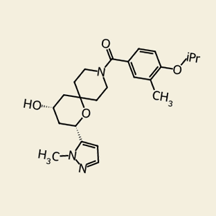 Cc1cc(C(=O)N2CCC3(CC2)C[C@@H](O)C[C@@H](c2ccnn2C)O3)ccc1OC(C)C